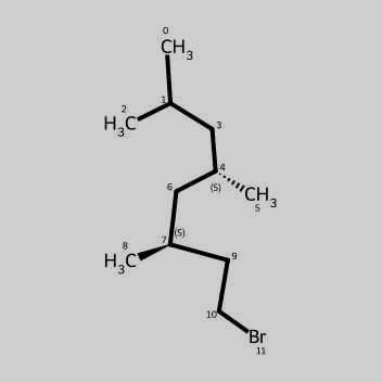 CC(C)C[C@H](C)C[C@H](C)CCBr